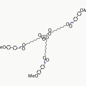 COc1ccc(-c2ccc(/C=C/C(=O)OCCCCCCCCCC(=O)OCC(COC(=O)CCCCCCCCCOC(=O)/C=C/c3ccc(-c4ccc(OC)cc4)cc3)OC(=O)CCCCCCCCCOC(=O)/C=C/c3ccc(-c4ccc(OC)cc4)cc3)cc2)cc1